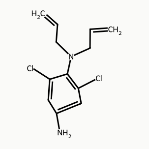 C=CCN(CC=C)c1c(Cl)cc(N)cc1Cl